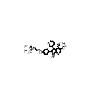 COc1c(Cl)cnc2[nH]c(-c3ccc(OCCCN(C)C)cc3)c(-c3cccnc3)c12